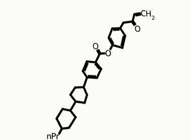 C=CC(=O)Cc1ccc(OC(=O)c2ccc(C3CCC(C4CCC(CCC)CC4)CC3)cc2)cc1